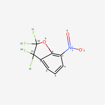 O=[N+]([O-])c1cccc2c1OC(F)(F)C2(F)F